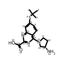 CC(C)(C)Sc1ccc2c(N3CC[C@@H](N)C3)nc(C(=O)O)nc2c1